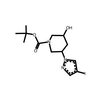 CC(C)(C)OC(=O)N1CC(O)CC(n2cc(I)cn2)C1